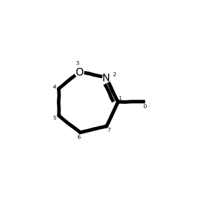 CC1=NOCCCC1